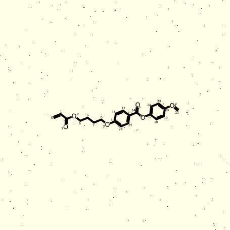 C=CC(=O)OCCCCOc1ccc(C(=O)Oc2ccc([O+]=C)cc2)cc1